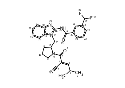 CC(C)C=C(C#N)C(=O)N1CCCC1Cn1c(NC(=O)c2cccc(C(F)F)c2)nc2ccccc21